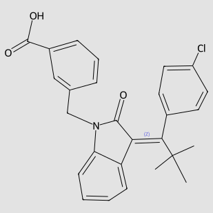 CC(C)(C)/C(=C1/C(=O)N(Cc2cccc(C(=O)O)c2)c2ccccc21)c1ccc(Cl)cc1